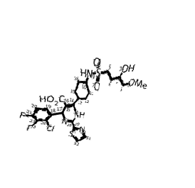 COC[C@H](O)CCS(=O)(=O)NC1CCC(C2=C(C(=O)O)C(c3ccc(F)c(F)c3Cl)N=C(c3nccs3)N2)CC1